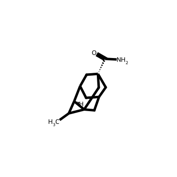 CC1[C@H]2C3CC4CC12C[C@](C(N)=O)(C4)C3